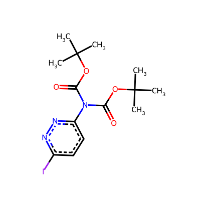 CC(C)(C)OC(=O)N(C(=O)OC(C)(C)C)c1ccc(I)nn1